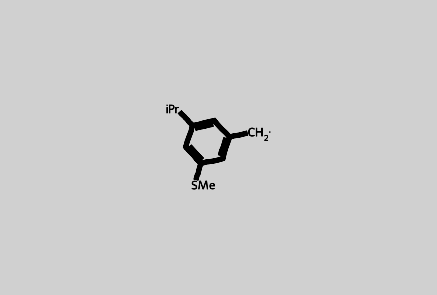 [CH2]c1cc(SC)cc(C(C)C)c1